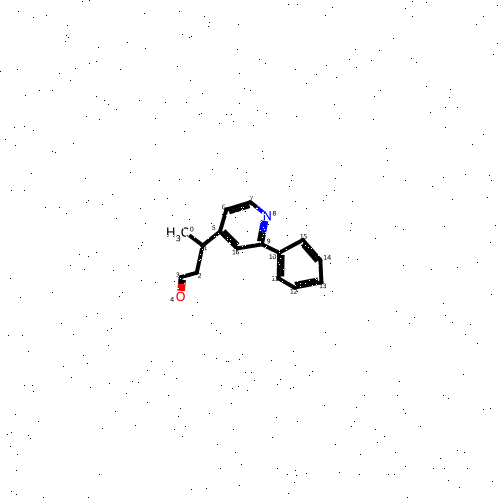 CC(C[C]=O)c1ccnc(-c2ccccc2)c1